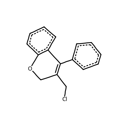 ClCC1=C(c2ccccc2)c2ccccc2OC1